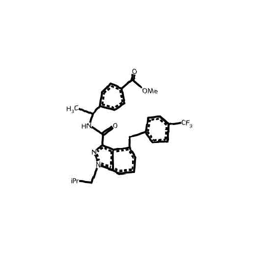 COC(=O)c1ccc(C(C)NC(=O)c2nn(CC(C)C)c3cccc(Cc4ccc(C(F)(F)F)cc4)c23)cc1